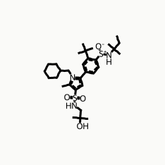 CCC(C)(C)N[S+]([O-])c1ccc(-c2cc(S(=O)(=O)NCC(C)(C)O)c(C)n2CC2CCCCC2)cc1C(C)(C)C